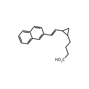 O=C(O)CCCC1CC1/C=C/c1ccc2ccccc2c1